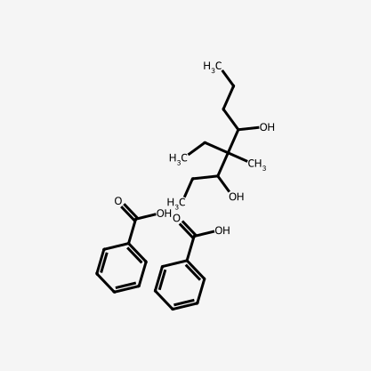 CCCC(O)C(C)(CC)C(O)CC.O=C(O)c1ccccc1.O=C(O)c1ccccc1